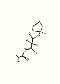 C=C(C)C(=O)OC(CC)C(F)(F)C(=O)OC1(C)CCCC1